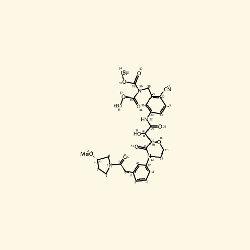 CO[C@H]1CCN(C(=O)Cc2cccc(N3CCO[C@H]([C@@H](O)C(=O)Nc4ccc(C#N)c(CN(C(=O)OC(C)(C)C)C(=O)OC(C)(C)C)c4)C3=O)c2)C1